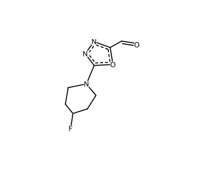 O=Cc1nnc(N2CCC(F)CC2)o1